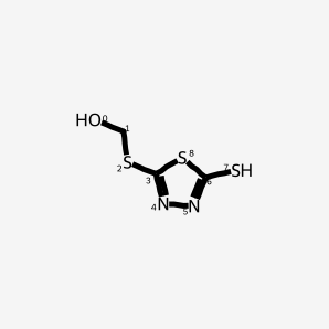 OCSc1nnc(S)s1